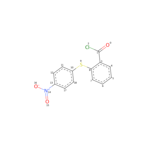 O=C(Cl)c1ccccc1Sc1ccc([N+](=O)[O-])cc1